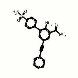 NC(=O)c1cc(C#Cc2ccccc2)cc(-c2ccc(S(N)(=O)=O)cc2)c1N